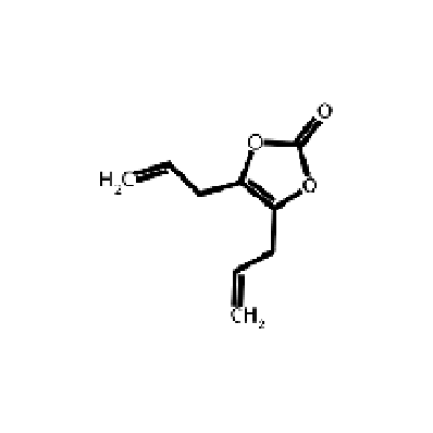 C=CCc1oc(=O)oc1CC=C